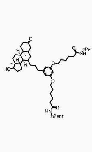 CCCCCNC(=O)CCCCCOc1cc(CCCC2CC3CC(=O)CC[C@]3(C)[C@@H]3CC[C@]4(C)C(O)CC[C@H]4[C@H]23)cc(OCCCCCC(=O)NCCCCC)c1